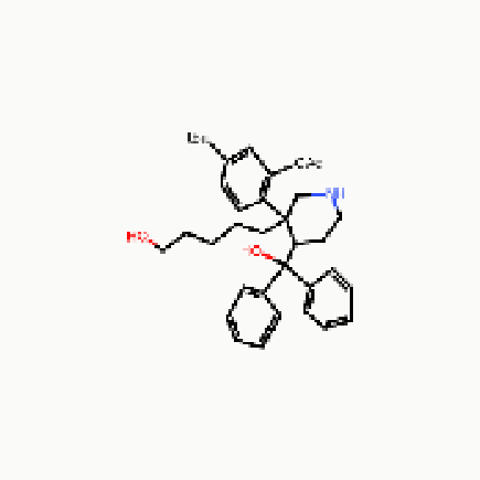 CC(=O)Oc1cc(C(C)(C)C)ccc1C1(CCCCCO)CNCCC1C(O)(c1ccccc1)c1ccccc1